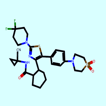 N#CC1(NC(=O)C2CCCCC2c2nc(N3CCC(F)(F)CC3)sc2-c2ccc(N3CCS(=O)(=O)CC3)cc2)CC1